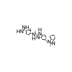 Cc1nc2ccccc2n1Cc1ccc2[nH]c(C(C)Nc3ccc(C(=N)N)cc3)nc2c1